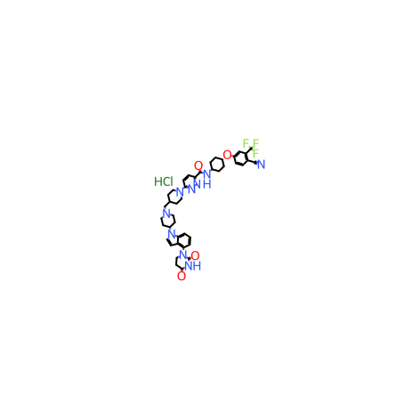 Cl.N#Cc1ccc(OC2CCC(NC(=O)c3ccc(N4CCC(CN5CCC(n6ccc7c(N8CCC(=O)NC8=O)cccc76)CC5)CC4)nn3)CC2)cc1C(F)(F)F